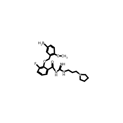 Bc1ccc(OC)c(COc2c(F)cccc2C(=O)NC(=N)NCCCN2CCCC2)c1